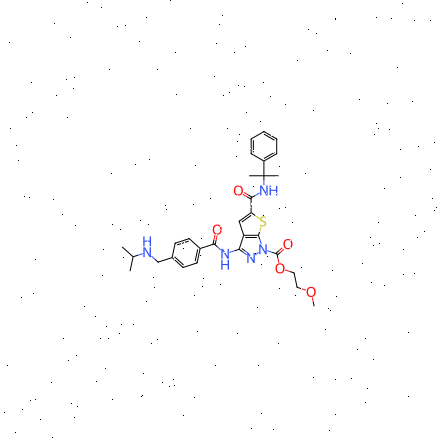 COCCOC(=O)n1nc(NC(=O)c2ccc(CNC(C)C)cc2)c2cc(C(=O)NC(C)(C)c3ccccc3)sc21